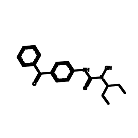 CCC(CC)N(O)C(=O)Nc1ccc(C(=O)c2ccccc2)cc1